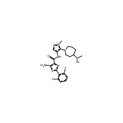 CC(=O)N(C)C1CCCN(c2c(NC(=O)c3nc(-c4c(F)cccc4F)sc3N)cnn2C)CC1